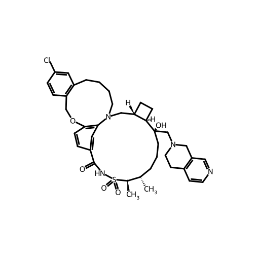 C[C@@H]1[C@@H](C)CCC[C@@](O)(CN2CCc3ccncc3C2)[C@@H]2CC[C@H]2CN2CCCCc3cc(Cl)ccc3COc3ccc(cc32)C(=O)NS1(=O)=O